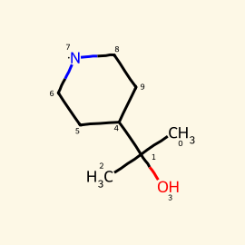 CC(C)(O)C1CC[N]CC1